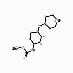 CC(C)(C)OC(=O)NC1CCC(OC2CCNCC2)CC1